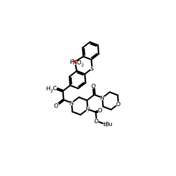 C=C(C(=O)N1CCN(C(=O)OC(C)(C)C)C(C(=O)N2CCOCC2)C1)c1ccc(Sc2ccccc2C(C)C)c([N+](=O)[O-])c1